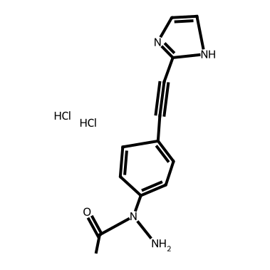 CC(=O)N(N)c1ccc(C#Cc2ncc[nH]2)cc1.Cl.Cl